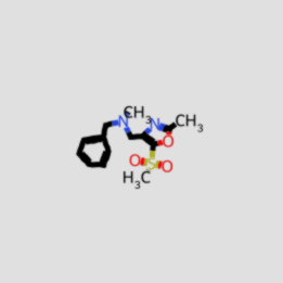 Cc1nc(CN(C)Cc2ccccc2)c(S(C)(=O)=O)o1